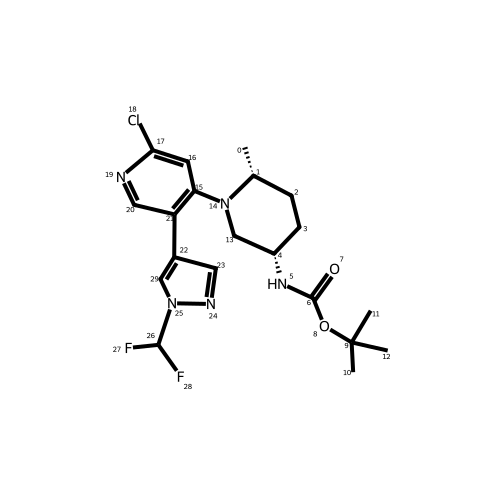 C[C@@H]1CC[C@H](NC(=O)OC(C)(C)C)CN1c1cc(Cl)ncc1-c1cnn(C(F)F)c1